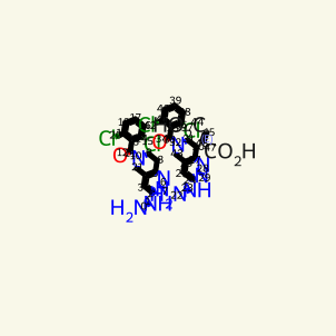 NNc1cc2c(nn1)CCN(C(=O)c1c(Cl)cccc1Cl)C2.NNc1cc2c(nn1)CCN(C(=O)c1c(Cl)cccc1Cl)C2.O=C(O)/C=C/C(=O)O